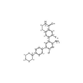 Nc1nc(F)c(-c2ccc(N3CCSCC3)cc2)cc1-c1cc2c(cc1F)C(=O)NCC2